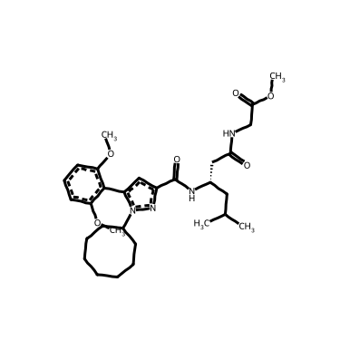 COC(=O)CNC(=O)C[C@H](CC(C)C)NC(=O)c1cc(-c2c(OC)cccc2OC)n(C2CCCCCCC2)n1